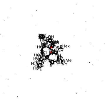 CCCCCCC(C)C(=O)NC(=O)C[C@@H]1NC(=O)[C@H](NC(=O)[C@@H](CC(C)C)NC)[C@H](O)c2ccc(c(C)c2)Oc2cc3cc(c2O[C@@H]2O[C@H](CO)[C@@H](O)[C@H](O)[C@H]2O[C@H]2C[C@](C)(N)[C@H](O)[C@H](C)O2)Oc2ccc(cc2Cl)[C@@H](O)[C@@H]2NC(=O)[C@H](NC(=O)[C@@H]3NC1=O)c1ccc(O)c(c1)-c1c(O)cc(O)cc1[C@@H](C(=O)NC1C3CC4CC(C3)CC1C4)NC2=O